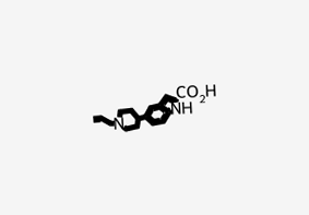 C=CCN1CCC(c2ccc3[nH]c(C(=O)O)cc3c2)CC1